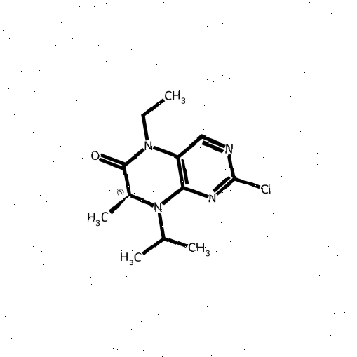 CCN1C(=O)[C@H](C)N(C(C)C)c2nc(Cl)ncc21